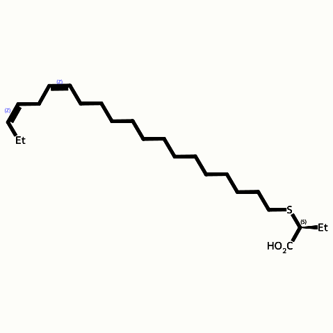 CC/C=C\C/C=C\CCCCCCCCCCCCCS[C@@H](CC)C(=O)O